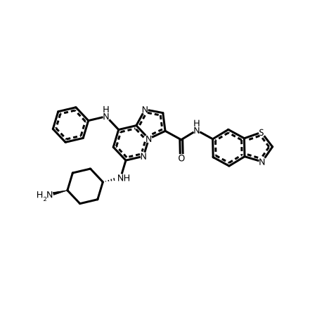 N[C@H]1CC[C@H](Nc2cc(Nc3ccccc3)c3ncc(C(=O)Nc4ccc5ncsc5c4)n3n2)CC1